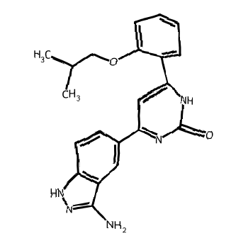 CC(C)COc1ccccc1-c1cc(-c2ccc3[nH]nc(N)c3c2)nc(=O)[nH]1